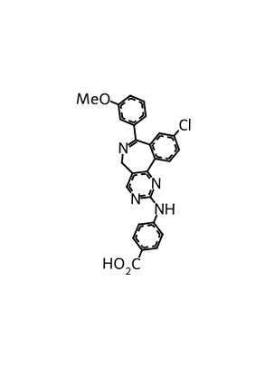 COc1cccc(C2=NCc3cnc(Nc4ccc(C(=O)O)cc4)nc3-c3ccc(Cl)cc32)c1